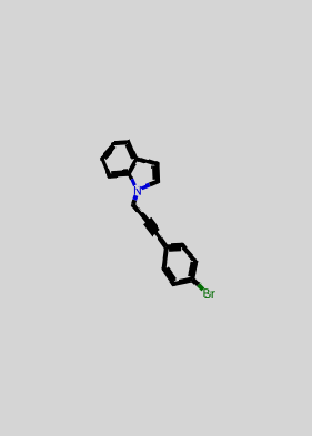 Brc1ccc(C#CCn2ccc3ccccc32)cc1